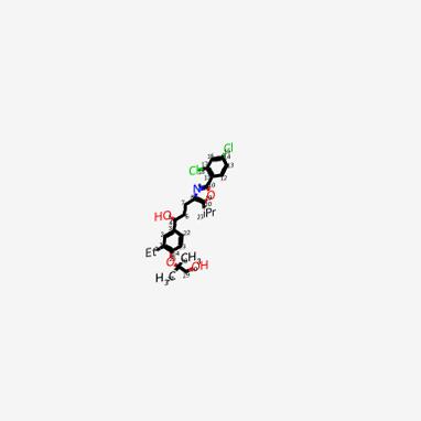 CCc1cc(C(O)CCc2nc(-c3ccc(Cl)cc3Cl)oc2C(C)C)ccc1OC(C)(C)CO